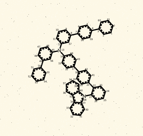 c1ccc(-c2ccc(-c3cccc(N(c4ccc(-c5ccc(-c6ccccc6-n6c7ccccc7c7ccccc76)cc5)cc4)c4cccc(-c5ccccc5)c4)c3)cc2)cc1